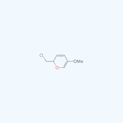 COC1=COC(CCl)C=C1